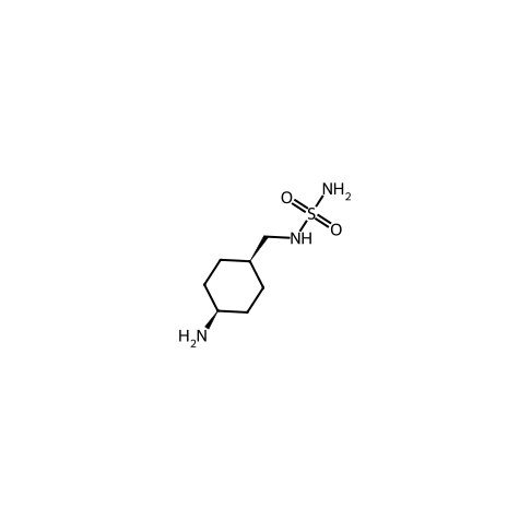 NS(=O)(=O)NC[C@H]1CC[C@@H](N)CC1